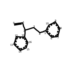 C=CC(CCc1ccccc1)c1ccccc1